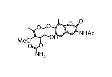 COC1=C(C)OC(Oc2ccc3cc(NC(C)=O)c(=O)oc3c2C)[C@@H](O)[C@H]1OC(N)=O